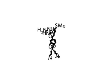 CSCCCCCC(OC(=O)NC(N)N)c1ccc(OC(=O)N(CCCN(C)C)CCCN(C)C)c(C)c1